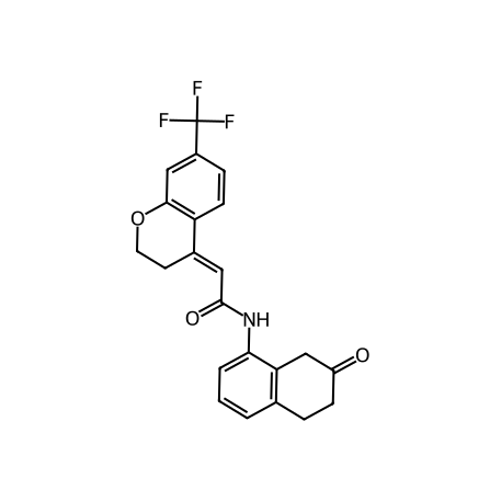 O=C1CCc2cccc(NC(=O)C=C3CCOc4cc(C(F)(F)F)ccc43)c2C1